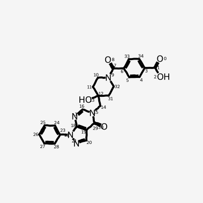 O=C(O)c1ccc(C(=O)N2CCC(O)(Cn3cnc4c(cnn4-c4ccccc4)c3=O)CC2)cc1